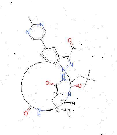 CC(=O)c1nn2c3c(cc(-c4cnc(C)nc4)cc13)CCCCCCC(=O)NC[C@@]13C[C@@H](C(=O)NCCC(C)(C)C)N(C(=O)C2)[C@@H]1[C@@H]3C